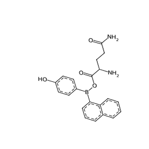 NC(=O)CCC(N)C(=O)OB(c1ccc(O)cc1)c1cccc2ccccc12